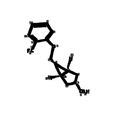 O=C(O)N1C[C@@H]2[C@@H](COc3cccnc3C(F)(F)F)[C@@H]2C1